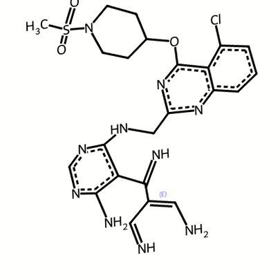 CS(=O)(=O)N1CCC(Oc2nc(CNc3ncnc(N)c3C(=N)/C(C=N)=C/N)nc3cccc(Cl)c23)CC1